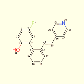 Oc1ccc(F)cc1-c1ccccc1C=Cc1ccncc1